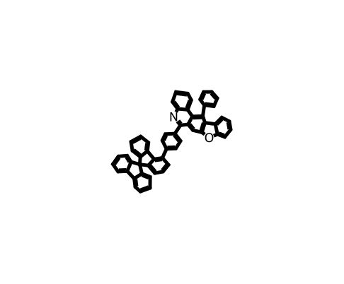 c1ccc(-c2c3c(cc4c(-c5ccc(-c6cccc7c6-c6ccccc6C76c7ccccc7-c7ccccc76)cc5)nc5ccccc5c24)oc2ccccc23)cc1